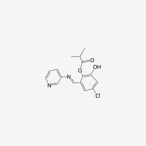 CC(C)C(=O)Oc1c(O)cc(Cl)cc1C=Nc1cccnc1